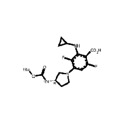 CC(C)(C)OC(=O)N[C@H]1CCN(c2cc(F)c(C(=O)O)c(NC3CC3)c2F)C1